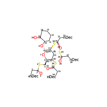 CCCCCCCCCCCC(=O)SC[C@H]1O[C@H](OC2CCCCC2=O)[C@@H](SC(=O)CCCCCCCCCCC)[C@H](SC(=O)CCCCCCCCCCC)[C@H]1SC(=O)CCCCCCCCCCC